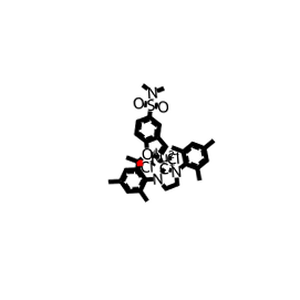 Cc1cc(C)c(N2CCN(c3c(C)cc(C)cc3C)[C+]2[Ru-2]2([Cl])([Cl])=[CH]c3cc(S(=O)(=O)N(C)C)ccc3[O+]2C(C)C)c(C)c1